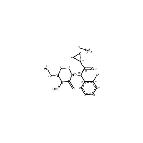 C=C1C(C=O)C(SC(C)=O)CCN1C(C(=O)C1CC1)c1ccccc1F.CN